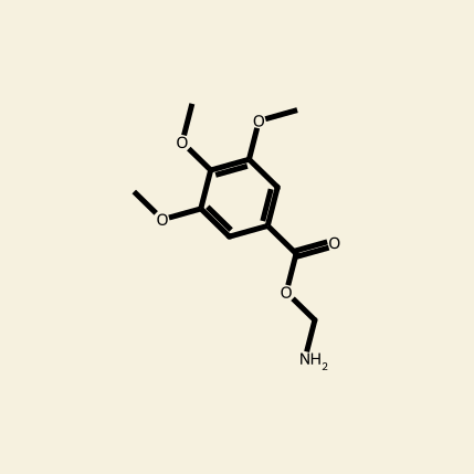 COc1cc(C(=O)OCN)cc(OC)c1OC